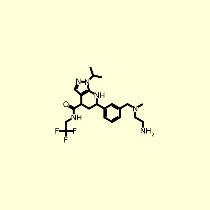 CC(C)n1ncc2c1NC(c1cccc(CN(C)CCN)c1)CC2C(=O)NCC(F)(F)F